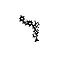 Nc1ncnn2c(C3CN4CCN(C5CC5)CC4CO3)cc(-c3ccc4cn(Cc5ccccc5)nc4c3)c12